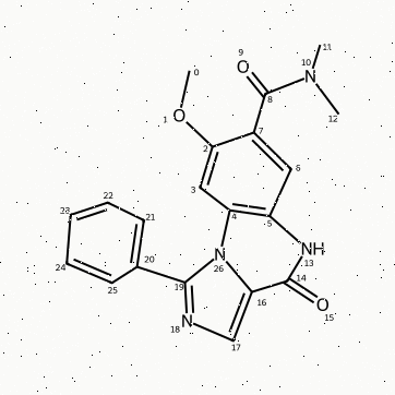 COc1cc2c(cc1C(=O)N(C)C)[nH]c(=O)c1cnc(-c3ccccc3)n12